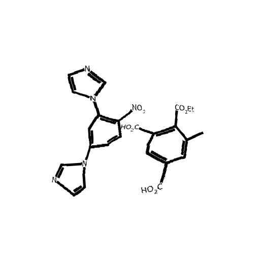 CCOC(=O)c1c(C)cc(C(=O)O)cc1C(=O)O.O=[N+]([O-])c1ccc(-n2ccnc2)cc1-n1ccnc1